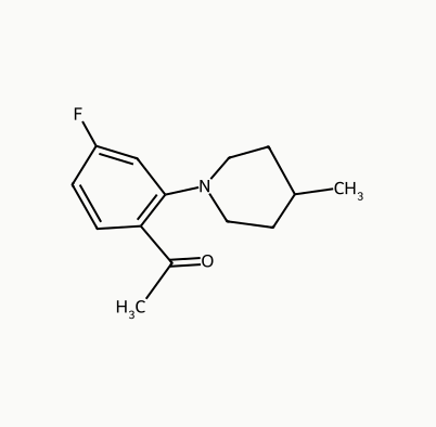 CC(=O)c1ccc(F)cc1N1CCC(C)CC1